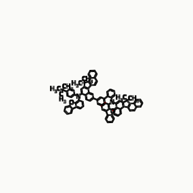 CC(C)(C)c1ccc(N(c2cc3c(c4cc(-c5cccc(-c6ccccc6N(c6cc7c(c8ccccc68)-c6ccc8ccccc8c6C7(C)C)c6cccc7c6oc6ccccc67)c5)ccc24)-c2ccc4ccccc4c2C3(C)C)c2cccc3c2oc2ccccc23)cc1